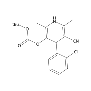 CC1=C(C#N)C(c2ccccc2Cl)C(OC(=O)OC(C)(C)C)=C(C)N1